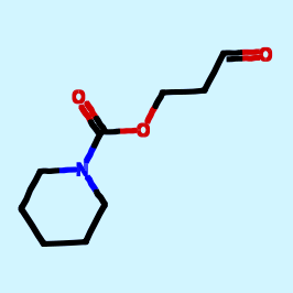 O=CCCOC(=O)N1CCCCC1